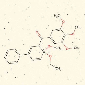 CCOC1(OC)C=CC(c2ccccc2)=CC1C(=O)c1cc(OC)c(OC)c(OC)c1